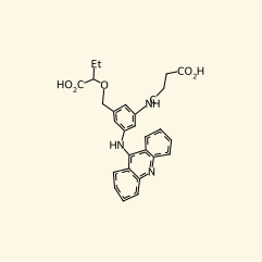 CCC(OCc1cc(NCCCC(=O)O)cc(Nc2c3ccccc3nc3ccccc23)c1)C(=O)O